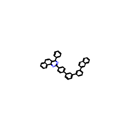 c1ccc(-c2nc(-c3ccc(-c4cccc(-c5cccc(-c6ccc7ccccc7c6)c5)c4)cc3)nc3c2ccc2ccccc23)cc1